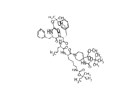 C=CC[C@@H](NC(=O)[C@@H](Cc1ccccc1)NC(=O)[C@@H](Cc1ccccc1)NC(=O)OC(C)(C)C)C(=O)N[C@H](CCCCNC(=O)OC(C)(C)C)C(=O)N1CCC(NC(=O)OC(C)(C)C)(C(=O)OC)CC1